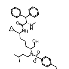 CN[C@H](C(=O)N[C@H](CCC[C@@H](CO)N(CCC(C)C)S(=O)(=O)c1ccc(CO)cc1)C1CC1)C(c1ccccc1)c1ccccc1